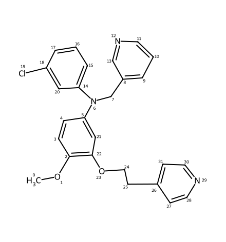 COc1ccc(N(Cc2cccnc2)c2cccc(Cl)c2)cc1OCCc1ccncc1